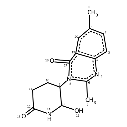 Cc1ccc2nc(C)n(C3CCC(=O)NC3O)c(=O)c2c1